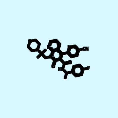 CC(NC(=O)c1c(-c2ccc(C#N)cn2)c2cccnc2n(CC(C)(C)N2CCOCC2)c1=O)c1ccc(F)cc1